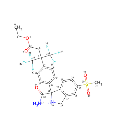 CCOC(=O)CC(c1ccc(C2(C(N)=O)NCc3cc(S(C)(=O)=O)ccc32)cc1)(C(F)(F)F)C(F)(F)F